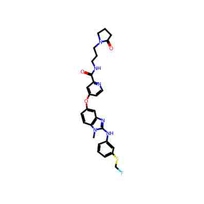 Cn1c(Nc2cccc(SCF)c2)nc2cc(Oc3ccnc(C(=O)NCCCN4CCCC4=O)c3)ccc21